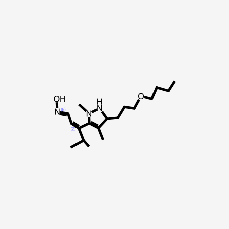 CCCCOCCCC1NN(C)C(/C(=C\C=N\O)C(C)C)=C1C